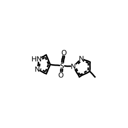 Cc1cnn(S(=O)(=O)c2cn[nH]c2)c1